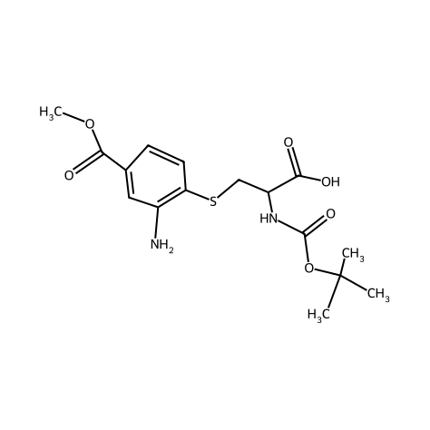 COC(=O)c1ccc(SCC(NC(=O)OC(C)(C)C)C(=O)O)c(N)c1